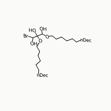 CCCCCCCCCCCCCCCCOC(O)C(O)(OCCCCCCCCCCCCCCCC)C(O)Br